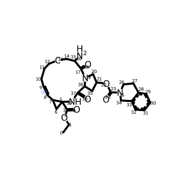 CCOC(=O)C12CC1/C=C\CCCCCC(N)C(=O)N1CC(OC(=O)N3CCc4ccccc4C3)CC1C(=O)N2